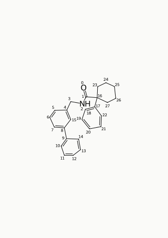 O=C(NCc1cccc(-c2ccccc2)c1)C1(c2ccccc2)CCCCC1